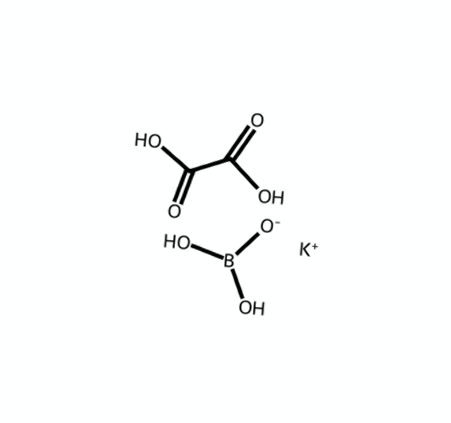 O=C(O)C(=O)O.[K+].[O-]B(O)O